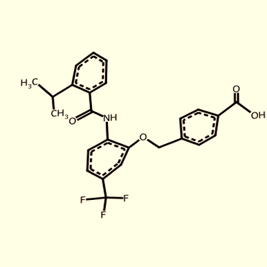 CC(C)c1ccccc1C(=O)Nc1ccc(C(F)(F)F)cc1OCc1ccc(C(=O)O)cc1